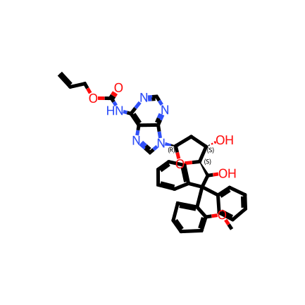 C=CCOC(=O)Nc1ncnc2c1ncn2[C@H]1C[C@H](O)[C@@H](C(O)C(c2ccccc2)(c2ccccc2)c2ccccc2OC)O1